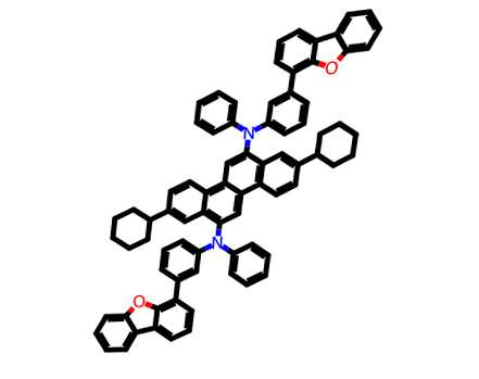 c1ccc(N(c2cccc(-c3cccc4c3oc3ccccc34)c2)c2cc3c4ccc(C5CCCCC5)cc4c(N(c4ccccc4)c4cccc(-c5cccc6c5oc5ccccc56)c4)cc3c3ccc(C4CCCCC4)cc23)cc1